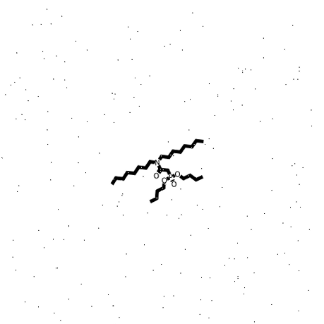 CCCCCCCCN(CCCCCCCC)C(=O)CP(=O)(OCCCC)OCCCC